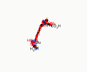 Cc1ncsc1-c1ccc(CNC(=O)[C@@H]2C[C@@H](O)CN2C(=O)[C@@H](NC(=O)COCCOCCOCCOCCOCCOc2ccc(NC(=O)c3c(-c4ccccc4)c(-c4ccc(F)cc4)n(CC[C@@H](O)C[C@@H](O)CC(=O)O)c3C(C)C)cc2)C(C)(C)C)cc1